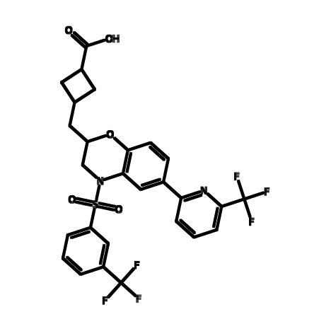 O=C(O)C1CC(CC2CN(S(=O)(=O)c3cccc(C(F)(F)F)c3)c3cc(-c4cccc(C(F)(F)F)n4)ccc3O2)C1